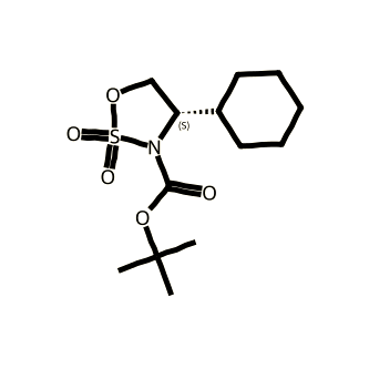 CC(C)(C)OC(=O)N1[C@@H](C2CCCCC2)COS1(=O)=O